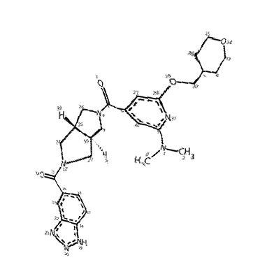 CN(C)c1cc(C(=O)N2C[C@H]3CN(C(=O)c4ccc5[nH]nnc5c4)C[C@@H]3C2)cc(OCC2CCOCC2)n1